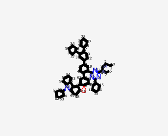 C=C/C=C\C(=C/C)c1nc(-c2ccccc2)nc(-c2cc(-c3ccc(-c4ccccc4)c(-c4ccccc4)c3)ccc2-c2ccc3oc4ccc5c(c6ccccc6n5-c5ccccc5)c4c3c2)n1